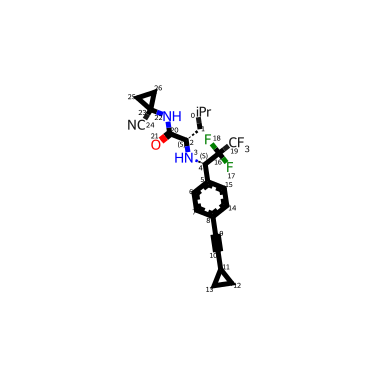 CC(C)C[C@H](N[C@@H](c1ccc(C#CC2CC2)cc1)C(F)(F)C(F)(F)F)C(=O)NC1(C#N)CC1